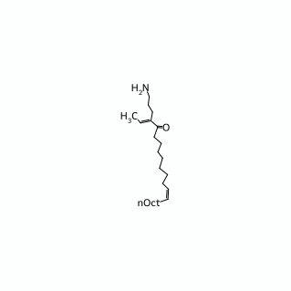 CC=C(CCCN)C(=O)CCCCCCC/C=C\CCCCCCCC